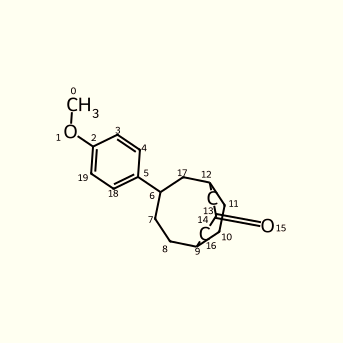 COc1ccc(C2CCC3CCC(CC(=O)C3)C2)cc1